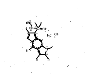 CC1=Cc2c(Br)c3c(cc2=[C]1[Zr]([CH3])([CH3])(=[SiH2])[NH]C(C)(C)C)N(C)C(C)C=3C.Cl.Cl